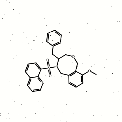 COc1cccc2c1COCC(Cc1ccccc1)N(S(=O)(=O)c1cccc3cccnc13)C2